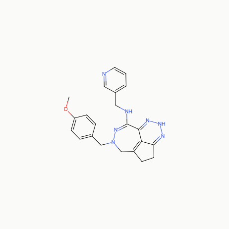 COc1ccc(CN2CC3=C4C(=NNN=C4C(NCc4cccnc4)=N2)CC3)cc1